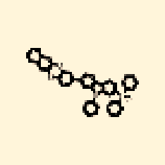 O=P(c1ccccc1)(c1ccccc1)c1ccc2c3ccc(-c4ccc5c(c4)Oc4cc6ccccc6cc4O5)cc3n(-c3ccccc3)c2c1